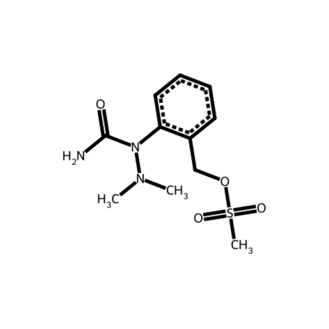 CN(C)N(C(N)=O)c1ccccc1COS(C)(=O)=O